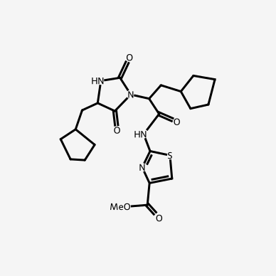 COC(=O)c1csc(NC(=O)C(CC2CCCC2)N2C(=O)NC(CC3CCCC3)C2=O)n1